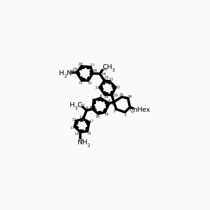 CCCCCCC1CCC(c2ccc(C(C)c3ccc(N)cc3)cc2)(c2ccc(C(C)c3ccc(N)cc3)cc2)CC1